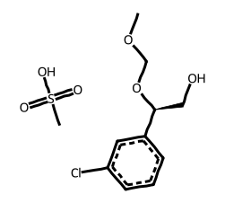 COCO[C@@H](CO)c1cccc(Cl)c1.CS(=O)(=O)O